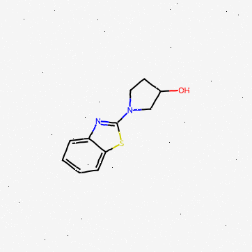 OC1CCN(c2nc3ccccc3s2)C1